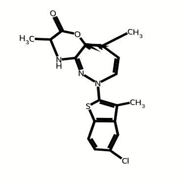 CC1=C2C=CN(c3sc4ccc(Cl)cc4c3C)N=C3NC(C)C(=O)OC32C=CC1